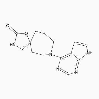 O=C1NCC2(CCCN(c3ncnc4[nH]ccc34)CC2)O1